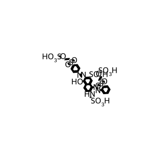 O=S(=O)(O)CNc1ccc2c(O)c(/N=N/c3ccc(S(=O)(=O)CCOS(=O)(=O)O)cc3)c(S(=O)(=O)O)cc2c1/N=N/c1ccccc1S(=O)(=O)CCOS(=O)(=O)O